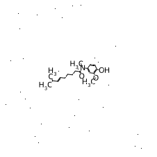 COc1cc(N(C)C(=O)CCCCC=CC(C)C)ccc1O